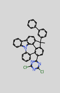 CC1(c2cccc(-c3ccccc3)c2)c2ccc(-c3nc(Cl)nc(Cl)n3)c3c2-c2c1ccc1c4ccccc4n(c21)-c1ccccc1-3